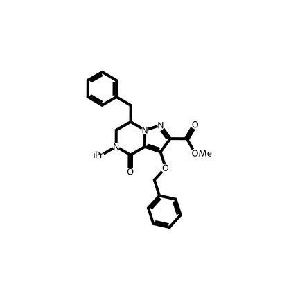 COC(=O)c1nn2c(c1OCc1ccccc1)C(=O)N(C(C)C)CC2Cc1ccccc1